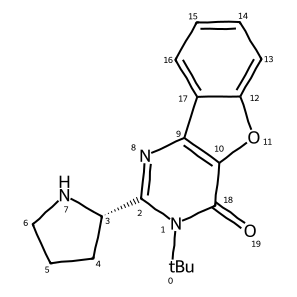 CC(C)(C)n1c([C@@H]2CCCN2)nc2c(oc3ccccc32)c1=O